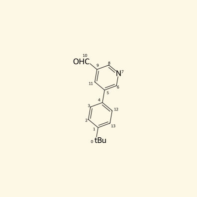 CC(C)(C)c1ccc(-c2cncc(C=O)c2)cc1